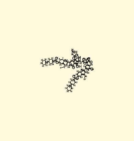 CCc1c2c(nc3ccc(OC(=O)N4CCC(N5CCCCC5)CC4)cc13)-c1cc([C@](CC)(OC(=O)CNC)C(=O)NCC(=O)O[C@]3(CC)C(=O)OCc4c3cc3n(c4=O)Cc4c-3nc3ccc(OC(=O)N5CCC(N6CCCCC6)CC5)cc3c4CC)c(CO)c(=O)n1C2